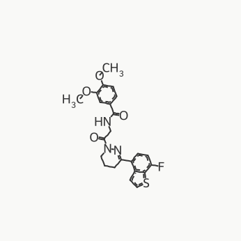 COc1ccc(C(=O)NCC(=O)N2CCCC(c3ccc(F)c4sccc34)=N2)cc1OC